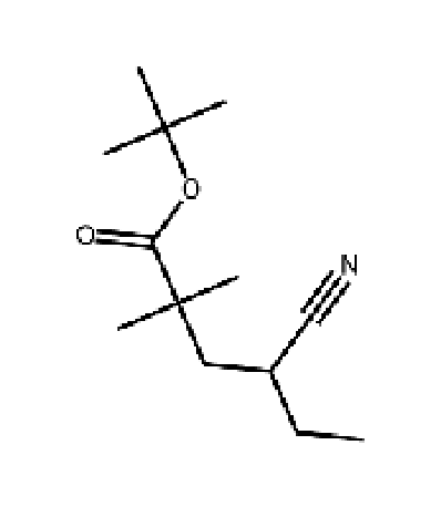 CCC(C#N)CC(C)(C)C(=O)OC(C)(C)C